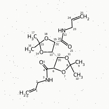 C=CCNC(=O)C1OC(C)(C)O[C@H]1C1OC(C)(C)O[C@@H]1C(=O)NCC=C